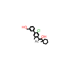 CC(=O)/C(=C(/O)C1(C)CCCCC1)c1cc(Cl)c(-c2cccc(CO)c2)cc1C